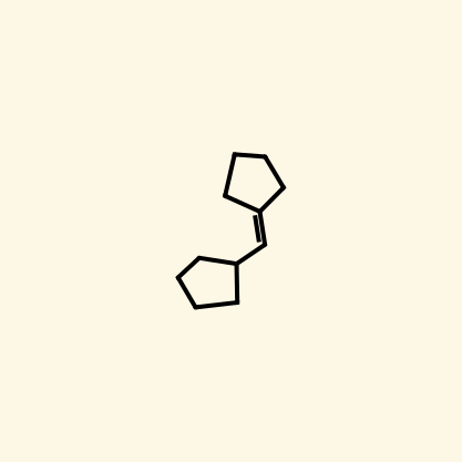 C(=C1CCCC1)C1CCCC1